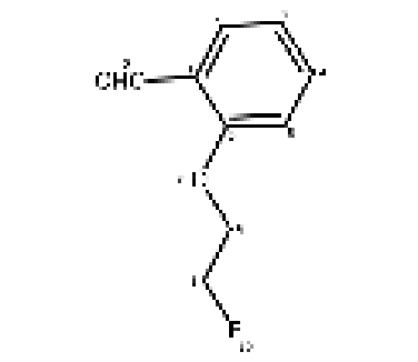 O=[C]c1ccccc1OCCF